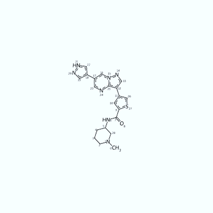 CN1CCCC(NC(=O)c2cc(-c3cnn4cc(-c5cn[nH]c5)cnc34)cs2)C1